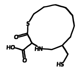 O=C(O)C1NCC(CS)CCCCCCCSC1=O